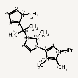 Cc1n(C(C)C)cc(N2C=CN(C(C)(C)c3cccn3C)[C@@H]2C)[n+]1C